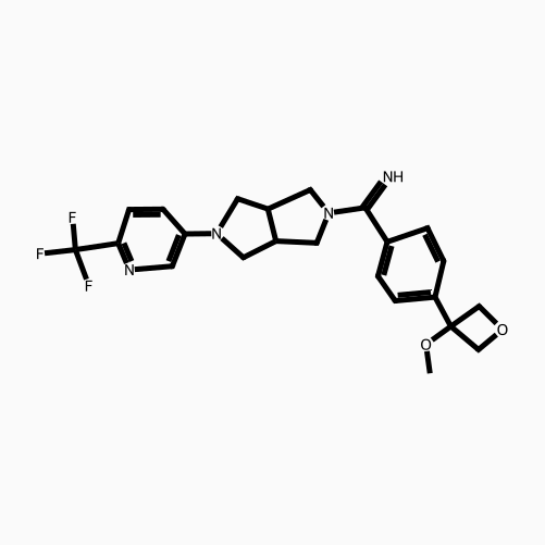 COC1(c2ccc(C(=N)N3CC4CN(c5ccc(C(F)(F)F)nc5)CC4C3)cc2)COC1